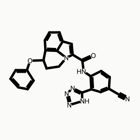 N#Cc1ccc(NC(=O)c2cc3cccc4c3n2CCC4Oc2ccccc2)c(-c2nnn[nH]2)c1